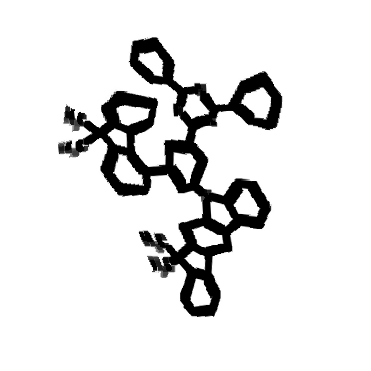 CC1(C)c2ccccc2-c2cc3c4ccccc4n(-c4cc(-c5nc(-c6ccccc6)nc(-c6ccccc6)n5)cc(-c5cccc6c5-c5ccccc5C6(C)C)c4)c3cc21